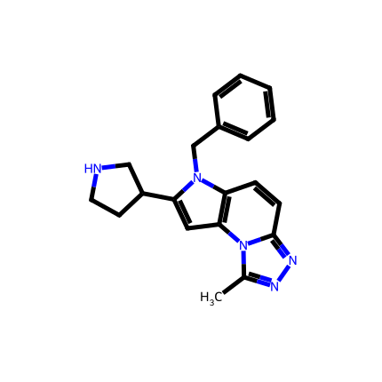 Cc1nnc2ccc3c(cc(C4CCNC4)n3Cc3ccccc3)n12